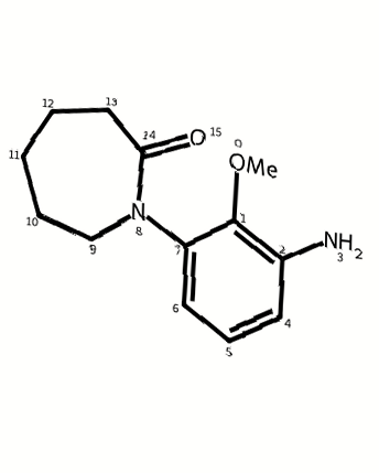 COc1c(N)cccc1N1CCCCCC1=O